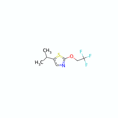 CC(C)c1cnc(OCC(F)(F)F)s1